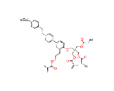 C=C(C)C(=O)OCCCc1cc(-c2ccc(CCc3ccc(CCCCCCCC)cc3)cc2)ccc1OCC(COC(=O)CC(C)=O)(COC(=O)CC(C)=O)COC(=O)C(=C)C